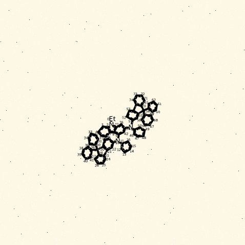 CCn1c2ccccc2c2c(N(c3ccccc3)c3ccc4c(c3)-c3ccccc3C4(c3ccccc3)c3ccccc3)cc(N(c3ccccc3)c3ccc4c(c3)C(c3ccccc3)(c3ccccc3)c3ccccc3-4)cc21